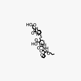 CCCON=C(C(=O)NC1C(=O)N2C(C(=O)O)=C(CSc3ccc4nn(CC(=O)O)c(=O)n4n3)CS[C@@H]12)c1ccco1